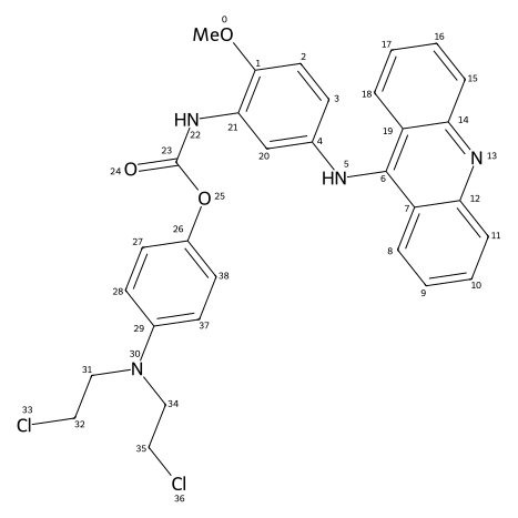 COc1ccc(Nc2c3ccccc3nc3ccccc23)cc1NC(=O)Oc1ccc(N(CCCl)CCCl)cc1